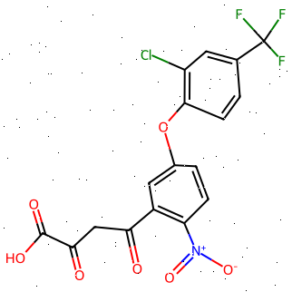 O=C(O)C(=O)CC(=O)c1cc(Oc2ccc(C(F)(F)F)cc2Cl)ccc1[N+](=O)[O-]